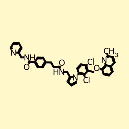 Cc1ccc2cccc(OCc3c(Cl)ccc(-n4cccc4CNC(=O)CCc4ccc(C(=O)NCc5ccccn5)cc4)c3Cl)c2n1